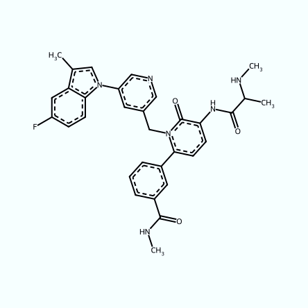 CNC(=O)c1cccc(-c2ccc(NC(=O)C(C)NC)c(=O)n2Cc2cncc(-n3cc(C)c4cc(F)ccc43)c2)c1